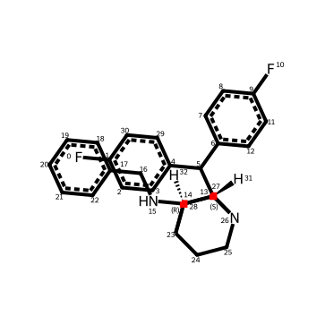 Fc1ccc(C(c2ccc(F)cc2)[C@H]2[C@H](NCc3ccccc3)C3CCN2CC3)cc1